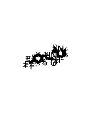 O=C(N[C@@H]1C2CCN(CC2)C12CC2)c1cc2ccc(C(F)(F)F)cc2s1